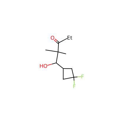 CCC(=O)C(C)(C)C(O)C1CC(F)(F)C1